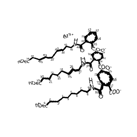 CCCCCCCCCCCCCCCCCCNC(=O)c1ccccc1C(=O)[O-].CCCCCCCCCCCCCCCCCCNC(=O)c1ccccc1C(=O)[O-].CCCCCCCCCCCCCCCCCCNC(=O)c1ccccc1C(=O)[O-].[Al+3]